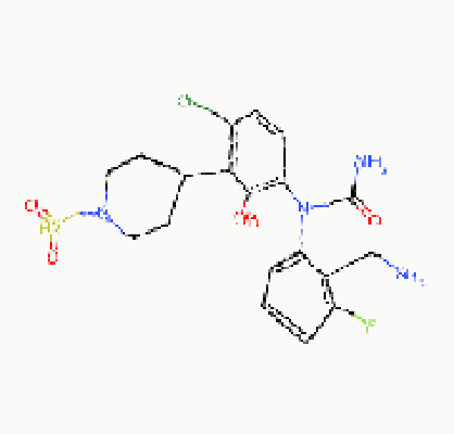 NCc1c(F)cccc1N(C(N)=O)c1ccc(Cl)c(C2CCN([SH](=O)=O)CC2)c1O